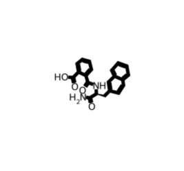 NC(=O)[C@H](Cc1ccc2ccccc2c1)NC(=O)c1ccccc1C(=O)O